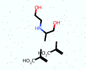 C=C(C)C(=O)O.C=C(C)C(=O)O.CC(CO)NCCO